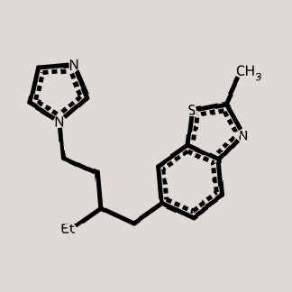 CCC(CCn1ccnc1)Cc1ccc2nc(C)sc2c1